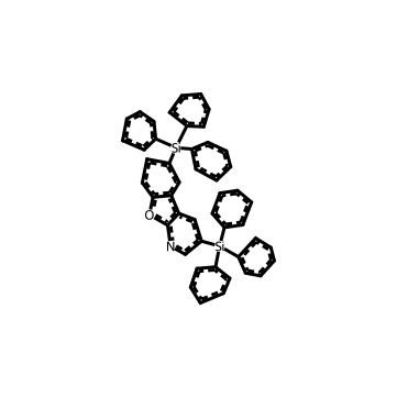 c1ccc([Si](c2ccccc2)(c2ccccc2)c2ccc3oc4ncc([Si](c5ccccc5)(c5ccccc5)c5ccccc5)cc4c3c2)cc1